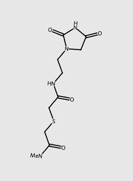 CNC(=O)CSCC(=O)NCCN1CC(=O)NC1=O